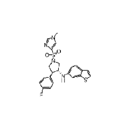 Cn1cnc(S(=O)(=O)N2C[C@H](Nc3ccc4ccsc4c3)[C@@H](c3ccc(F)cc3)C2)c1